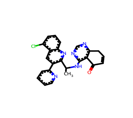 CC(Nc1ncnc2c1C(=O)C=CC2)c1nc2cccc(Cl)c2cc1-c1ccccn1